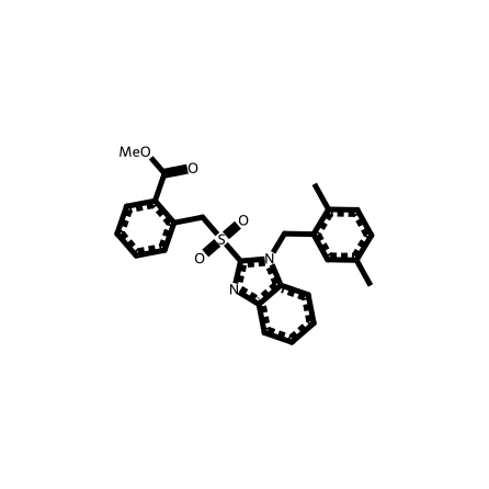 COC(=O)c1ccccc1CS(=O)(=O)c1nc2ccccc2n1Cc1cc(C)ccc1C